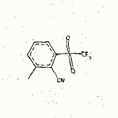 Cc1cccc(S(=O)(=O)C(F)(F)F)c1C#N